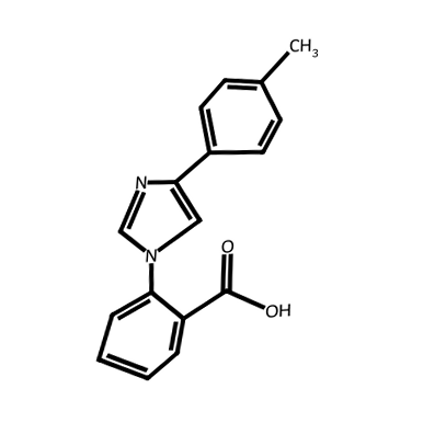 Cc1ccc(-c2cn(-c3ccccc3C(=O)O)cn2)cc1